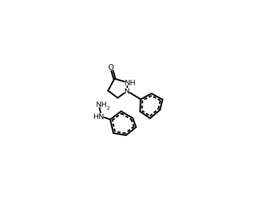 NNc1ccccc1.O=C1CCN(c2ccccc2)N1